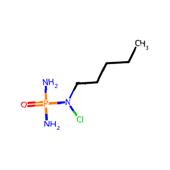 CCCCCN(Cl)P(N)(N)=O